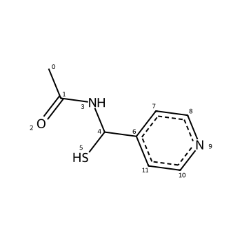 CC(=O)NC(S)c1ccncc1